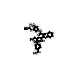 CC(C)CN(C[C@H](O)C(Cc1ccccc1)NC(=O)O[C@@H]1C[C@H](CCO)[C@H](C)C1)S(=O)(=O)c1ccc(CO)cc1